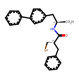 O=C(N[C@@H](Cc1ccc(-c2ccccc2)cc1)C(=O)O)[C@@H](CS)Cc1ccccc1